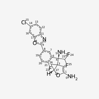 NC1=CC2([C@](N)(c3cc(-c4nc5ccc(Cl)cc5o4)ccc3F)C(F)F)C[C@H]2O1